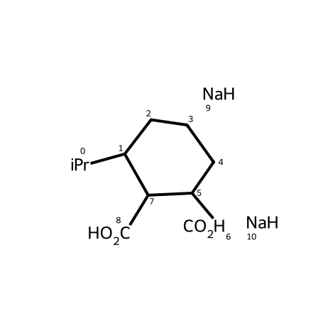 CC(C)C1CCCC(C(=O)O)C1C(=O)O.[NaH].[NaH]